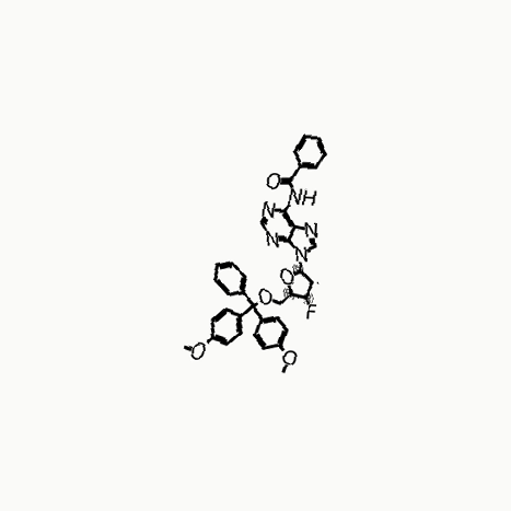 COc1ccc(C(OC[C@H]2O[C@@H](n3cnc4c(NC(=O)c5ccccc5)ncnc43)[CH][C@H]2F)(c2ccccc2)c2ccc(OC)cc2)cc1